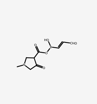 CN1CC(=O)C(C(=O)OB(O)/C=C/C=O)C1